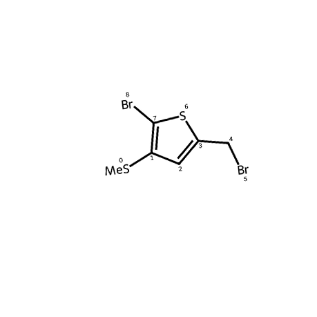 CSc1cc(CBr)sc1Br